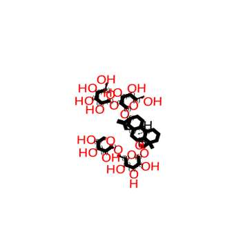 C=C1C[C@]23CC[C@H]4C(C)(C(=O)O[C@@H]5O[C@H](CO[C@@H]6OC[C@@H](O)[C@H](O)[C@H]6O)[C@@H](O)[C@H](O)[C@H]5O)CCC[C@]4(C)[C@H]2CC[C@]1(O[C@@H]1O[C@H](CO)[C@@H](O)[C@H](O)[C@H]1O[C@@H]1O[C@H](CO)[C@@H](O)[C@H](O)[C@H]1O)C3